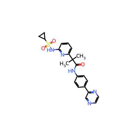 CC(C)(C(=O)Nc1ccc(-c2cnccn2)cc1)c1cccc(NS(=O)(=O)C2CC2)n1